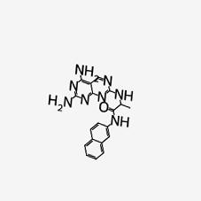 CC(Nc1ncc2c(N)nc(N)nc2n1)C(=O)Nc1ccc2ccccc2c1